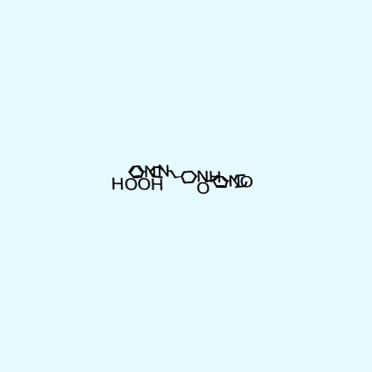 O=C(N[C@H]1CC[C@H](CCN2CCN(c3cccc(O)c3O)CC2)CC1)c1ccc(N2CCOCC2)cc1